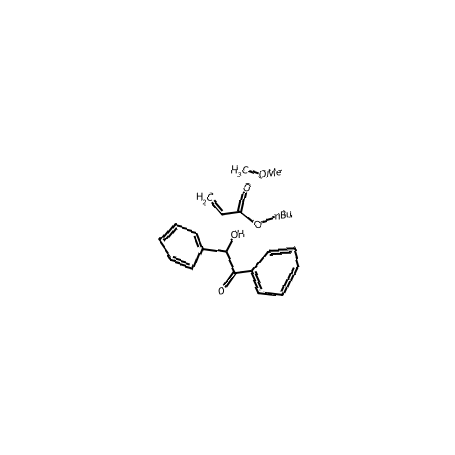 C=CC(=O)OCCCC.COC.O=C(c1ccccc1)C(O)c1ccccc1